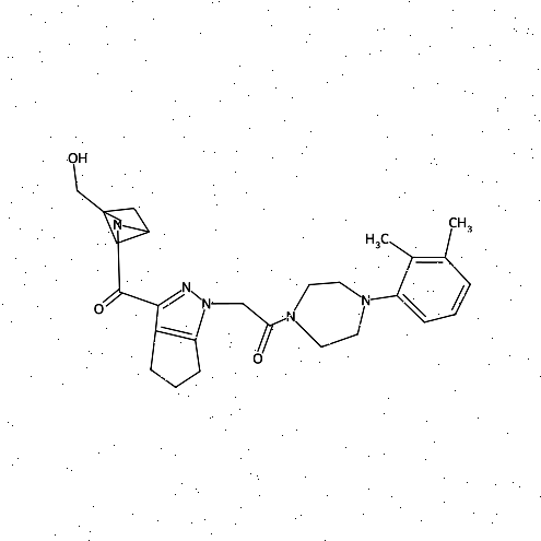 Cc1cccc(N2CCN(C(=O)Cn3nc(C(=O)N4CC5(CO)CC4C5)c4c3CCC4)CC2)c1C